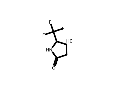 Cl.O=C1CCC(C(F)(F)F)N1